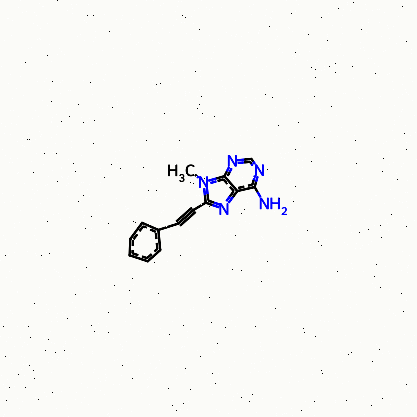 Cn1c(C#Cc2ccccc2)nc2c(N)ncnc21